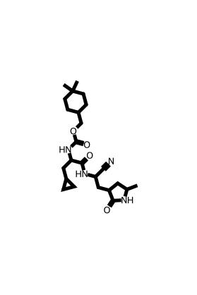 CC1CC(CC(C#N)NC(=O)C(CC2CC2)NC(=O)OCC2CCC(C)(C)CC2)C(=O)N1